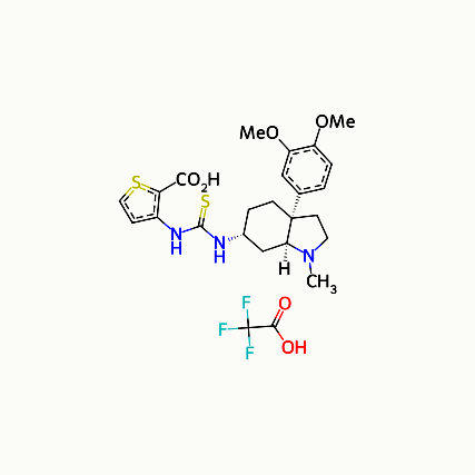 COc1ccc([C@@]23CC[C@@H](NC(=S)Nc4ccsc4C(=O)O)C[C@@H]2N(C)CC3)cc1OC.O=C(O)C(F)(F)F